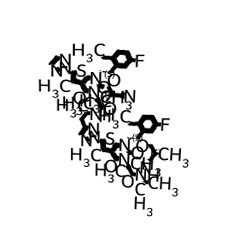 CCc1ccc(F)cc1[C@@H](Cn1c(=O)n(C(C)(C)C(=O)NC(C)C)c(=O)c2c(C)c(-n3ncc(CC(C)NC(=O)C(C)(C)n4c(=O)c5c(C)c(-n6nccn6)sc5n(C[C@@H](OC[C@H](C)C#N)c5cc(F)ccc5CC)c4=O)n3)sc21)OC[C@@H](C)C#N